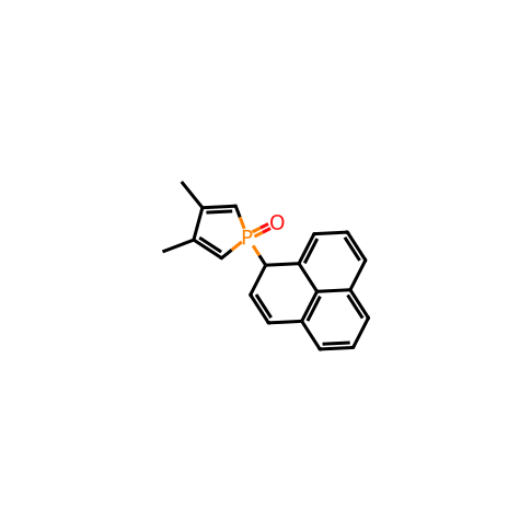 CC1=CP(=O)(C2C=Cc3cccc4cccc2c34)C=C1C